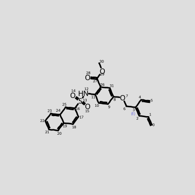 C=C/C=C(\C=C)COc1ccc(NS(=O)(=O)c2ccc3ccccc3c2)c(C(=O)OC)c1